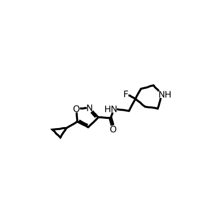 O=C(NCC1(F)CCNCC1)c1cc(C2CC2)on1